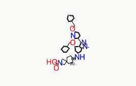 C[C@@H]1CC2(CC[C@H]1Nc1ccc3c(-c4ccc(OCc5ccccc5)nc4OCc4ccccc4)nn(C)c3c1)CN(C(=O)O)C2